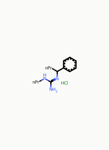 CCCNC(N)=NC(CCC)c1ccccc1.Cl